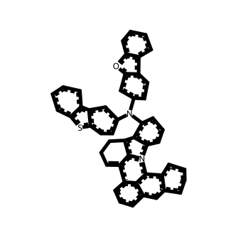 C1=c2c3cccc4cc5ccccc5c(c43)n3c2c(c2c(N(c4ccc5c(c4)oc4ccccc45)c4ccc5sc6ccccc6c5c4)cccc23)CC1